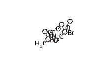 Cc1cc(Br)c(OCc2ccccc2)c(-c2ccccc2OCCCOc2ccccc2-c2cc(C)cc(Br)c2OCc2ccccc2)c1